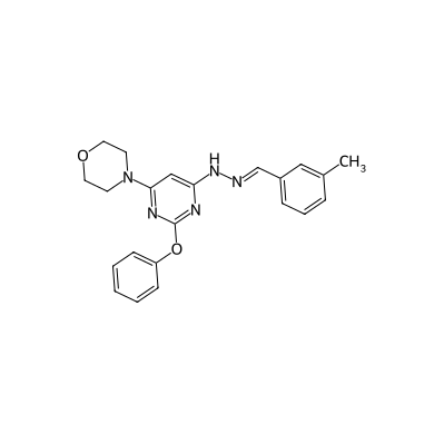 Cc1cccc(/C=N/Nc2cc(N3CCOCC3)nc(Oc3ccccc3)n2)c1